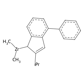 CC(C)C1=Cc2c(-c3ccccc3)cccc2[CH]1[Zr]([CH3])[CH3]